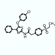 CCS(=O)(=O)c1ccc(CC(=O)Nc2nc(-c3ccccc3)c(Oc3ccc(Cl)cc3)s2)cc1